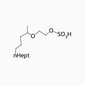 CCCCCCCCCCC(C)OCCOS(=O)(=O)O